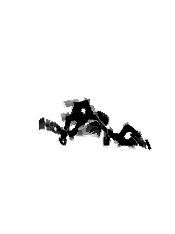 CN(CC1CCNCC1)S(=O)(=O)c1cccc2c1CCN(C(=O)O)C2